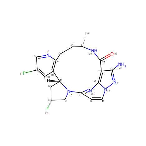 C[C@H]1CCc2ncc(F)cc2[C@H]2C[C@@H](F)CN2c2ccn3nc(N)c(c3n2)C(=O)N1